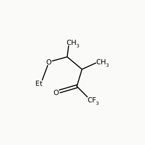 CCOC(C)C(C)C(=O)C(F)(F)F